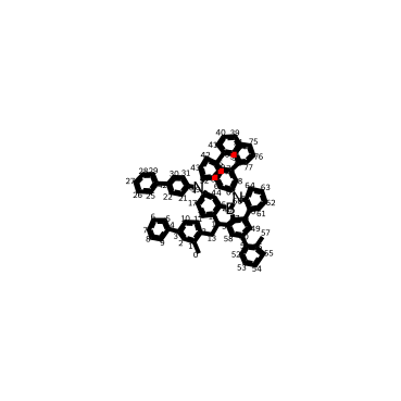 Cc1cc(-c2ccccc2)ccc1CC1c2ccc(N(c3ccc(-c4ccccc4)cc3)c3ccc(-c4ccccc4)cc3)cc2B2c3c(cc(-c4ccccc4C)cc31)-c1ccccc1N2c1cccc(-c2ccccc2)c1